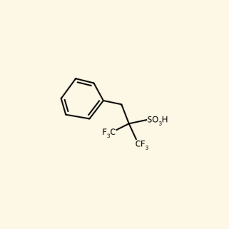 O=S(=O)(O)C(Cc1ccccc1)(C(F)(F)F)C(F)(F)F